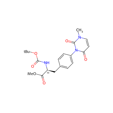 COC(=O)[C@H](Cc1ccc(-n2c(=O)ccn(C)c2=O)cc1)NC(=O)OC(C)(C)C